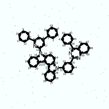 c1ccc(-c2cc(-c3ccccc3)nc(-n3c4ccccc4c4c5c6ccccc6n(-c6cccc(-c7nc(-c8ccccc8)c8ccccc8n7)c6)c5ccc43)c2)cc1